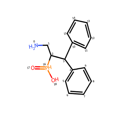 NCC(C(c1ccccc1)c1ccccc1)[PH](=O)O